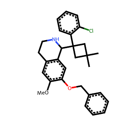 COc1cc2c(cc1OCc1ccccc1)C(C1(c3ccccc3Cl)CC(C)(C)C1)NCC2